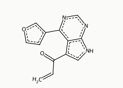 C=CC(=O)c1c[nH]c2ncnc(-c3ccoc3)c12